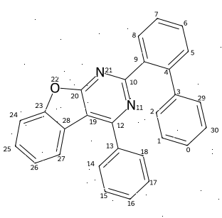 c1ccc(-c2ccccc2-c2nc(-c3ccccc3)c3c(n2)oc2ccccc23)cc1